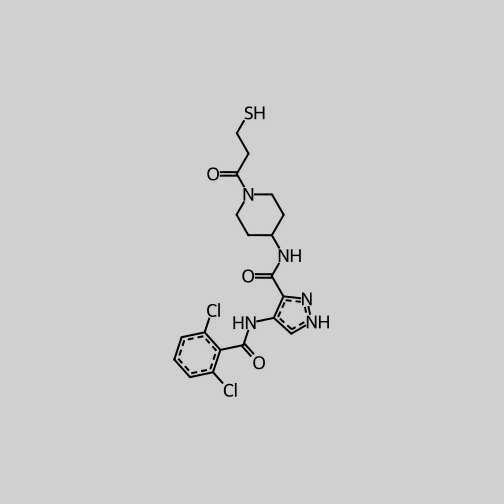 O=C(NC1CCN(C(=O)CCS)CC1)c1n[nH]cc1NC(=O)c1c(Cl)cccc1Cl